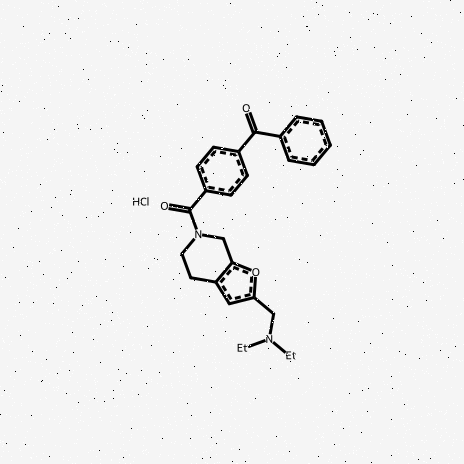 CCN(CC)Cc1cc2c(o1)CN(C(=O)c1ccc(C(=O)c3ccccc3)cc1)CC2.Cl